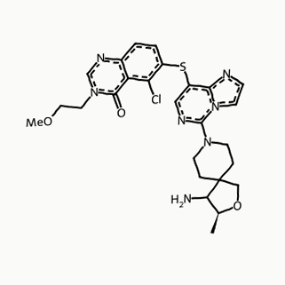 COCCn1cnc2ccc(Sc3cnc(N4CCC5(CC4)CO[C@@H](C)C5N)n4ccnc34)c(Cl)c2c1=O